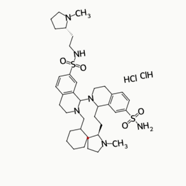 CN1CCC[C@H]1CCNS(=O)(=O)c1ccc2c(c1)C(N1CCc3ccc(S(N)(=O)=O)cc3C1CC[C@@H]1CCCN1C)N(CC1CCCCC1)CC2.Cl.Cl